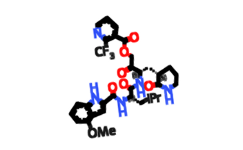 COc1cccc2[nH]c(C(=O)N[C@@H](CC(C)C)C(=O)N[C@@H](C[C@@H]3CCCNC3=O)C(=O)COC(=O)c3cccnc3C(F)(F)F)cc12